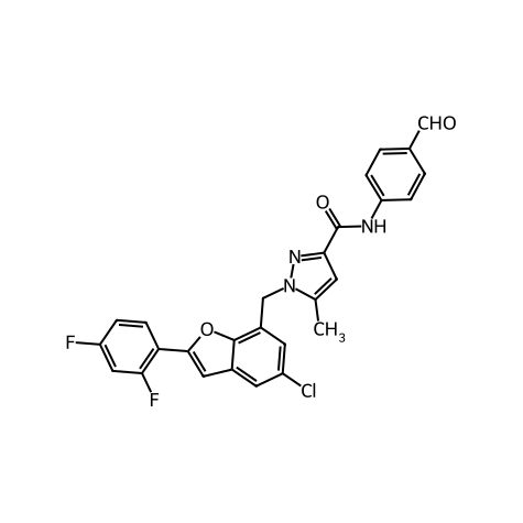 Cc1cc(C(=O)Nc2ccc(C=O)cc2)nn1Cc1cc(Cl)cc2cc(-c3ccc(F)cc3F)oc12